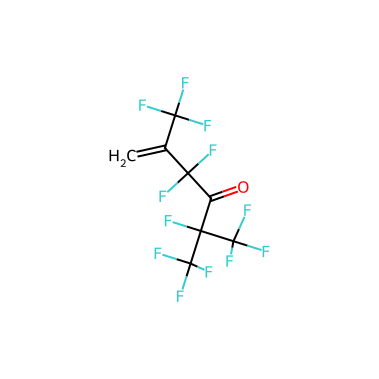 C=C(C(F)(F)F)C(F)(F)C(=O)C(F)(C(F)(F)F)C(F)(F)F